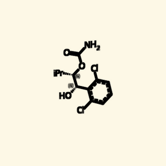 CC(C)[C@H](OC(N)=O)[C@@H](O)c1c(Cl)cccc1Cl